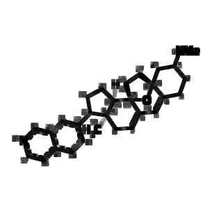 CNC1CCC2=CC3=CC[C@@]4(C)C(c5ccc6ccncc6c5)CC[C@H]4[C@@]34CC[C@]2(C1)O4